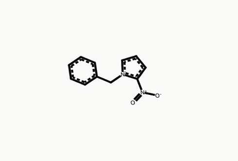 O=[N+]([O-])c1cccn1Cc1ccccc1